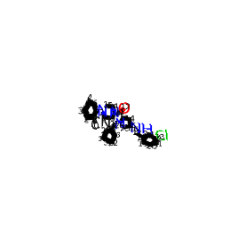 N#Cc1ccccc1N1CCN(C(=O)[C@@H]2C[C@H](NCc3cccc(Cl)c3)CN2Cc2ccccc2)CC1